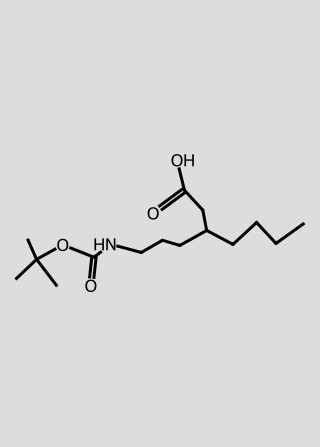 CCCCC(CCCNC(=O)OC(C)(C)C)CC(=O)O